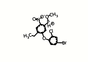 CCc1cc([N+](=O)[O-])c([PH](=O)OC)cc1Oc1ccc(Br)cc1Cl